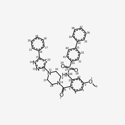 COc1ccc(C(=O)N2CCN(c3nnc(-c4ccccc4)s3)CC2)c(NS(=O)(=O)c2ccc(-c3ccccc3)cc2)c1